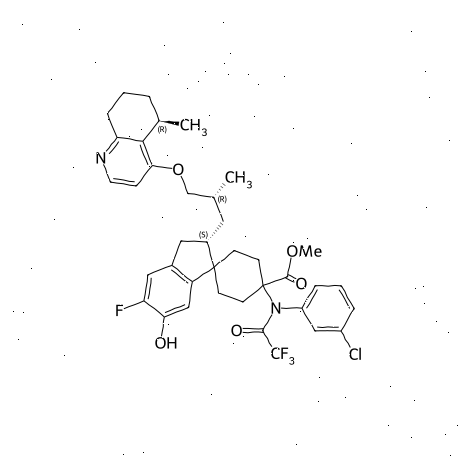 COC(=O)C1(N(C(=O)C(F)(F)F)c2cccc(Cl)c2)CCC2(CC1)c1cc(O)c(F)cc1C[C@@H]2C[C@@H](C)COc1ccnc2c1[C@H](C)CCC2